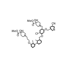 COC(=O)C1(O)CCN(CCCOc2cccc(-c3cccc(COc4cc(OCc5cncc(C#N)c5)c(CN5CCC(O)(C(=O)OC)CC5)cc4Cl)c3C)c2C)CC1